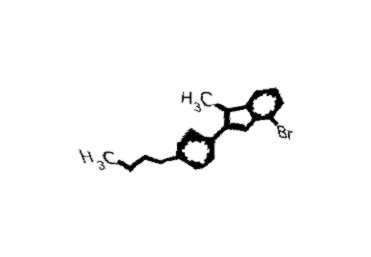 CCCCc1ccc(C2=Cc3c(Br)cccc3C2C)cc1